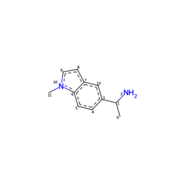 CC(N)c1ccc2c(ccn2C)c1